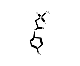 CS(=O)(=O)CC(=O)Oc1ccc(N=O)cc1